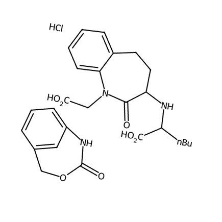 CCCCC(NC1CCc2ccccc2N(CC(=O)O)C1=O)C(=O)O.Cl.O=C1Nc2cccc(c2)CO1